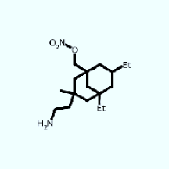 CCC1CC2(CC)CC(C)(CCN)CC(CO[N+](=O)[O-])(C1)C2